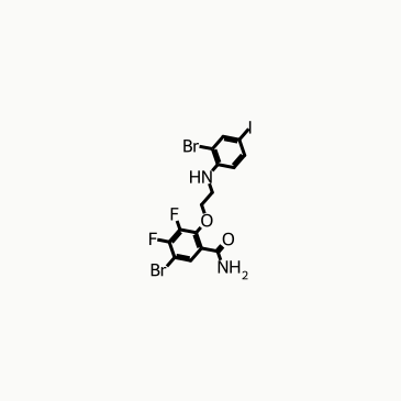 NC(=O)c1cc(Br)c(F)c(F)c1OCCNc1ccc(I)cc1Br